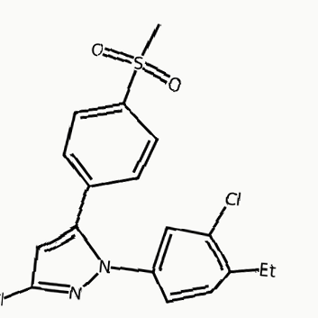 CCc1ccc(-n2nc(Cl)cc2-c2ccc(S(C)(=O)=O)cc2)cc1Cl